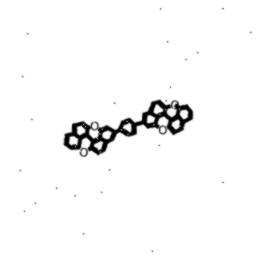 c1cc2ccc3oc4cc(-c5ccc(-c6cc7ccc8oc9cccc%10ccc%11oc(c6)c7c8-c%11c%109)cc5)cc5ccc6oc(c1)c2c3-c6c54